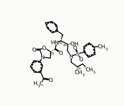 CC[C@H](C)CN(C[C@@H](O)[C@H](Cc1ccccc1)NC(=O)[C@@H]1CN(c2cccc(C(C)=O)c2)C(=O)O1)S(=O)(=O)c1ccc(C)cc1